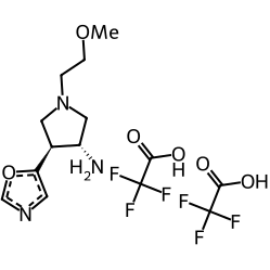 COCCN1C[C@H](c2cnco2)[C@@H](N)C1.O=C(O)C(F)(F)F.O=C(O)C(F)(F)F